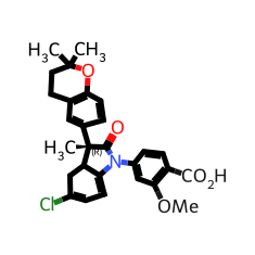 COc1cc(N2C(=O)[C@@](C)(c3ccc4c(c3)CCC(C)(C)O4)C3CC(Cl)=CC=C32)ccc1C(=O)O